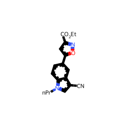 CCCn1cc(C#N)c2cc(-c3cc(C(=O)OCC)no3)ccc21